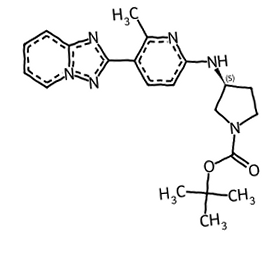 Cc1nc(N[C@H]2CCN(C(=O)OC(C)(C)C)C2)ccc1-c1nc2ccccn2n1